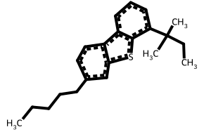 CCCCCc1ccc2c(c1)sc1c(C(C)(C)CC)cccc12